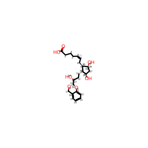 O=C(O)CCC/C=C\C[C@@H]1[C@@H](CC[C@@H](O)[C@H]2OCc3ccccc3O2)[C@H](O)C[C@@H]1O